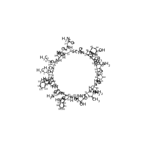 CCCC[C@H]1C(=O)N(C)[C@@H](CCCC)C(=O)N[C@@H](CN)C(=O)N[C@H](C(=O)NCC(N)=O)CSCC(=O)N[C@@H](Cc2ccc(O)cc2)C(=O)N(C)[C@@H](C)C(=O)N[C@@H](CC(N)=O)C(=O)N2CCC[C@H]2C(=O)N[C@@H](CN)C(=O)N[C@@H](CC(C)C)C(=O)N2C[C@H](O)C[C@H]2C(=O)N[C@@H](Cc2c[nH]c3ccccc23)C(=O)N[C@@H](CCN)C(=O)N[C@@H](Cc2c[nH]c3ccccc23)C(=O)N1C